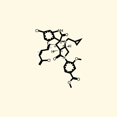 C=C(Cl)/C=C\C=C(/F)[C@H]1[C@@H]2C(=O)N(c3ccc(C(=O)OC)cc3OC)C[C@@H]2N(CC2CC2)[C@@]12C(=O)Nc1cc(Cl)ccc12